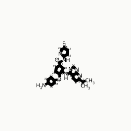 CC(C)c1ccc2c(Nc3cc(C(=O)Nc4ccc(F)cn4)ccc3Oc3ccc(N)cc3)ncnc2n1